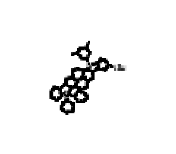 Cc1cc(C)cc(-n2c3ccc(C(C)(C)C)cc3c3cc4ccc5c6c(cc7ccc(c4c75)c32)-c2ccccc2[Si]6(c2ccccc2)c2ccccc2)c1